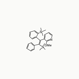 COc1ncccc1C(=C(c1ccccc1)[Si](C)(C)C)c1ccccc1[Si](C)(C)C